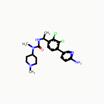 CC(NC(=O)N(C)C1CCN(C)CC1)c1ccc(-c2ccc(N)nc2)c(Cl)c1Cl